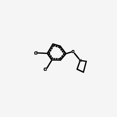 Clc1ccc(ON2CCC2)cc1Cl